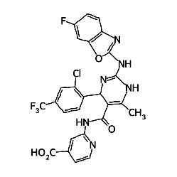 CC1=C(C(=O)Nc2cc(C(=O)O)ccn2)C(c2ccc(C(F)(F)F)cc2Cl)N=C(Nc2nc3ccc(F)cc3o2)N1